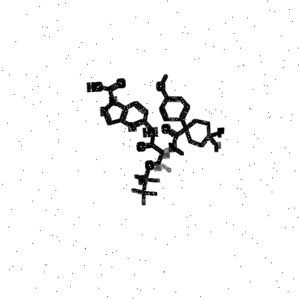 COc1ccc(C2(C(=O)N(C)[C@@H](C(=O)Nc3ccc4c(cnn4C(=O)O)n3)[C@H](C)O[Si](C)(C)C(C)(C)C)CCC(F)(F)CC2)cc1